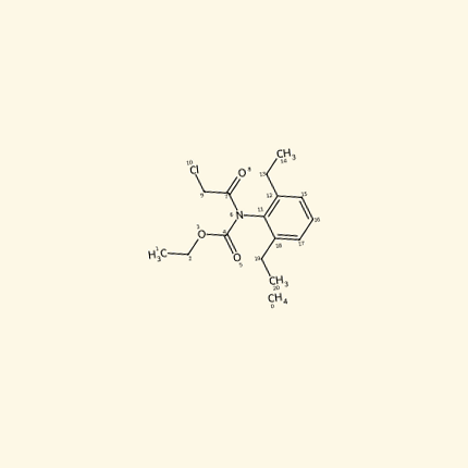 C.CCOC(=O)N(C(=O)CCl)c1c(CC)cccc1CC